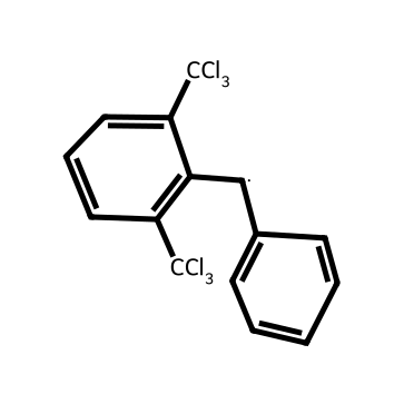 ClC(Cl)(Cl)c1cccc(C(Cl)(Cl)Cl)c1[CH]c1ccccc1